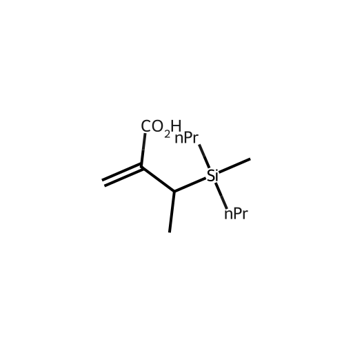 C=C(C(=O)O)C(C)[Si](C)(CCC)CCC